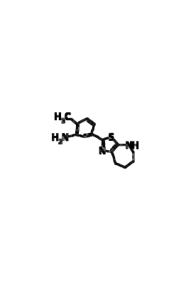 Cc1ccc(-c2nc3c(s2)NCCCC3)cc1N